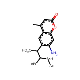 CCCC([AsH]C(C)=O)C(C(=O)O)c1cc2c(C)cc(=O)oc2cc1N